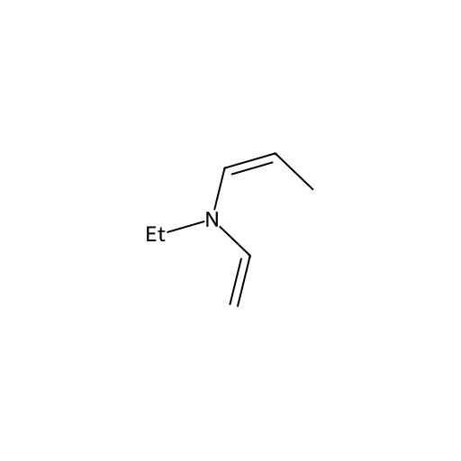 C=CN(/C=C\C)CC